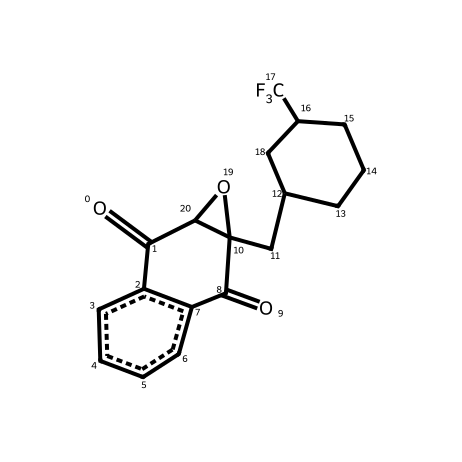 O=C1c2ccccc2C(=O)C2(CC3CCCC(C(F)(F)F)C3)OC12